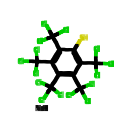 Sc1c(C(Cl)(Cl)Cl)c(C(Cl)(Cl)Cl)c(C(Cl)(Cl)Cl)c(C(Cl)(Cl)Cl)c1C(Cl)(Cl)Cl.[NaH]